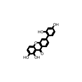 O=c1c2ccc(-c3ccc(O)cc3O)cc2oc2ccc(O)c(O)c12